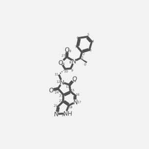 C[C@H](c1ccccc1)N1C[C@H](CN2C(=O)c3cnc4[nH]ncc4c3C2=O)OC1=O